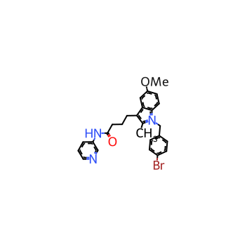 COc1ccc2c(c1)c(CCCC(=O)Nc1cccnc1)c(C)n2Cc1ccc(Br)cc1